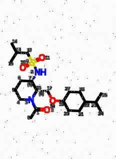 CC(=O)N1CCC[C@H](NS(=O)(=O)CC(C)C)[C@@H]1COC1CCC(C(C)C)CC1